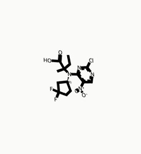 CCC(C)(C(=O)O)N(c1nc(Cl)ncc1[N+](=O)[O-])[C@@H]1CCC(F)(F)C1